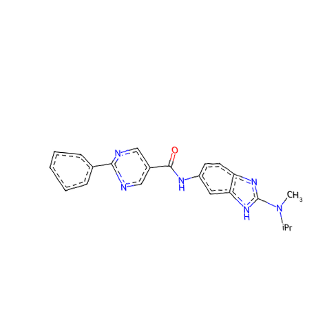 CC(C)N(C)c1nc2ccc(NC(=O)c3cnc(-c4ccccc4)nc3)cc2[nH]1